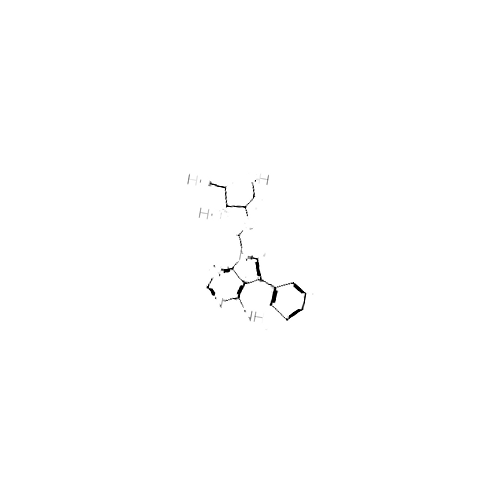 Nc1ncnc2c1c(-c1ccccc1)cn2COC(CO)[C@H](O)CO